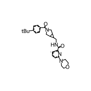 CC(C)(C)c1ccc(C(=O)N2CC3C(CNC(=O)c4[c]ccc(N5CCOCC5)n4)C3C2)cc1